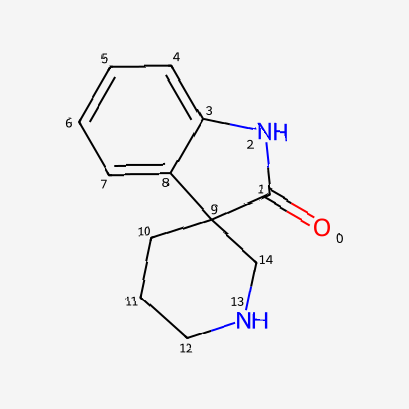 O=C1Nc2ccccc2C12CCCNC2